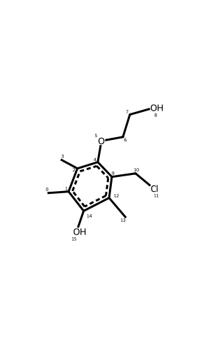 Cc1c(C)c(OCCO)c(CCl)c(C)c1O